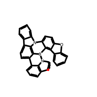 c1ccc2c(c1)oc1ccc3c(c12)B1c2c(ccc4c5ccccc5n-3c24)-c2cccc3c4ccccc4n1c23